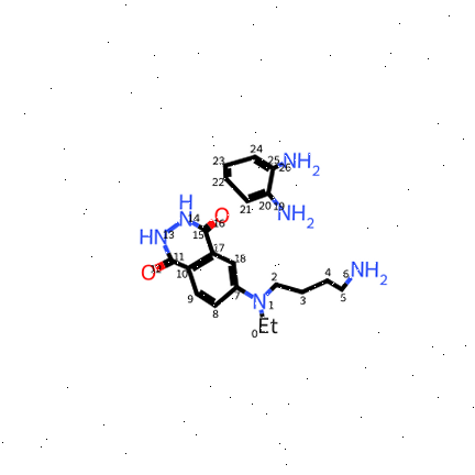 CCN(CCCCN)c1ccc2c(=O)[nH][nH]c(=O)c2c1.Nc1ccccc1N